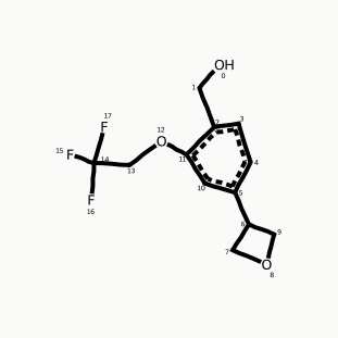 OCc1ccc(C2COC2)cc1OCC(F)(F)F